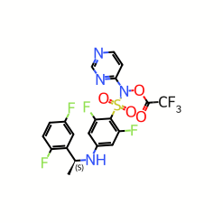 C[C@H](Nc1cc(F)c(S(=O)(=O)N(OC(=O)C(F)(F)F)c2ccncn2)c(F)c1)c1cc(F)ccc1F